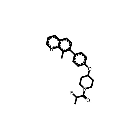 Cc1c(-c2ccc(OC3CCN(C(=O)C(C)F)CC3)cc2)ccc2cccnc12